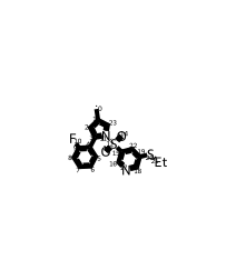 [CH2]c1cc(-c2ccccc2F)n(S(=O)(=O)c2cncc(SCC)c2)c1